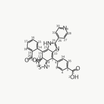 O=C(O)c1ccc(-c2c3nsnc3c(-c3ccccc3C(=O)O)c3[nH]c(-c4ccncc4)nc23)cc1